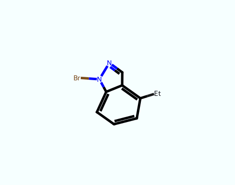 CCc1cccc2c1cnn2Br